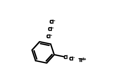 Clc1ccccc1.[Cl-].[Cl-].[Cl-].[Cl-].[Ti+4]